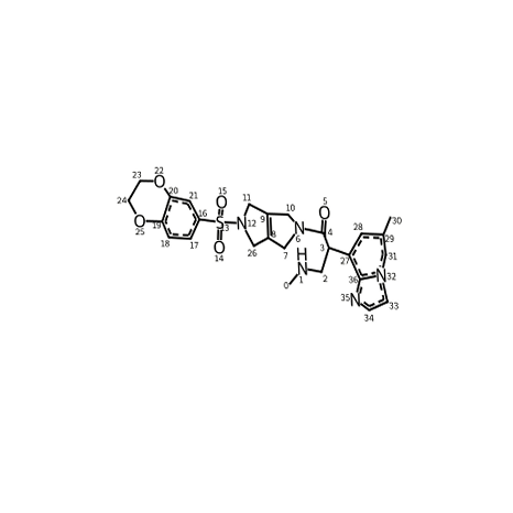 CNCC(C(=O)N1CC2=C(C1)CN(S(=O)(=O)c1ccc3c(c1)OCCO3)C2)c1cc(C)cn2ccnc12